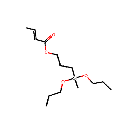 CC=CC(=O)OCCC[Si](C)(OCCC)OCCC